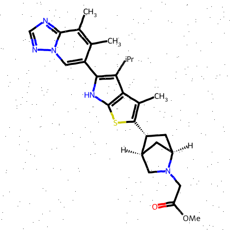 COC(=O)CN1C[C@@H]2C[C@H]1C[C@H]2c1sc2[nH]c(-c3cn4ncnc4c(C)c3C)c(C(C)C)c2c1C